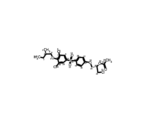 CC[C@@H](C)COc1c(Cl)cc(S(=O)(=O)c2ccc(OC[C@@H](CCl)OC(C)=O)cc2)cc1Cl